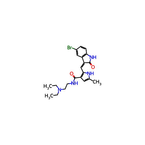 CCN(CC)CCNC(=O)c1cc(C)[nH]c1C=C1C(=O)Nc2ccc(Br)cc21